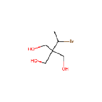 CC(Br)C(CO)(CO)CO